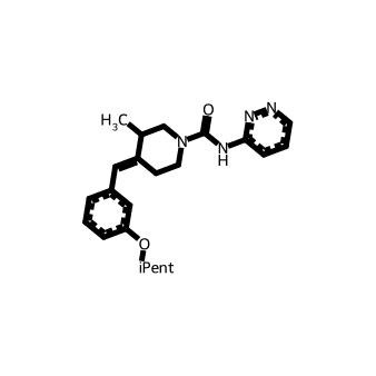 CCCC(C)Oc1cccc(/C=C2\CCN(C(=O)Nc3cccnn3)CC2C)c1